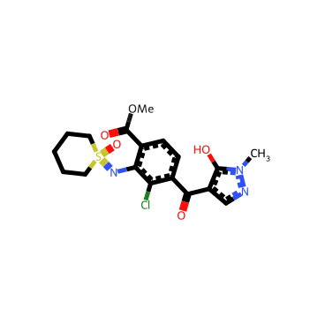 COC(=O)c1ccc(C(=O)c2cnn(C)c2O)c(Cl)c1N=S1(=O)CCCCC1